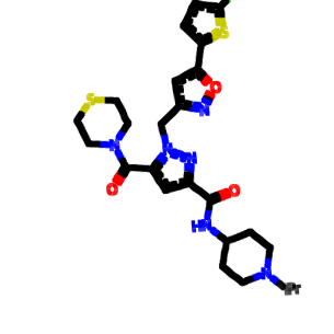 CC(C)N1CCC(NC(=O)c2cc(C(=O)N3CCSCC3)n(Cc3cc(-c4ccc(Cl)s4)on3)n2)CC1